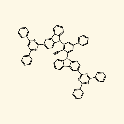 N#Cc1c(-n2c3ccccc3c3cc(-c4nc(-c5ccccc5)nc(-c5ccccc5)n4)ccc32)cc(-c2ccncc2)cc1-n1c2ccccc2c2cc(-c3nc(-c4ccccc4)nc(-c4ccccc4)n3)ccc21